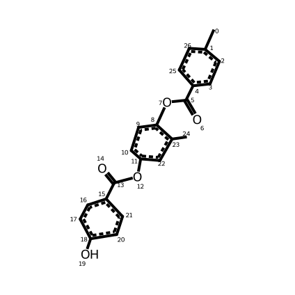 Cc1ccc(C(=O)Oc2ccc(OC(=O)c3ccc(O)cc3)cc2C)cc1